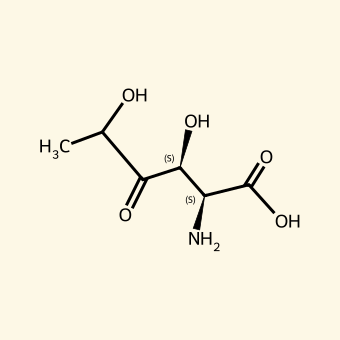 CC(O)C(=O)[C@@H](O)[C@H](N)C(=O)O